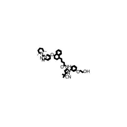 C[C@@H]1CCC[C@H](C)N1c1nnc2ccc(O[C@@H]3CCC(CCCC(=O)Nc4cc(C(C)(C)C#N)nn4-c4cccc(OCCO)c4)c4ccccc43)cn12